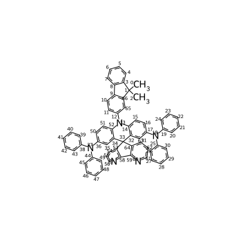 CC1(C)c2ccccc2-c2ccc(N3c4ccc(N(c5ccccc5)c5ccccc5)cc4C4(c5cc(N(c6ccccc6)c6ccccc6)ccc53)c3cccnc3-c3ncccc34)cc21